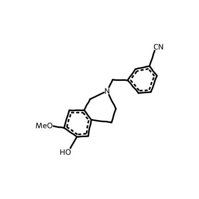 COc1cc2c(cc1O)CCN(Cc1cccc(C#N)c1)C2